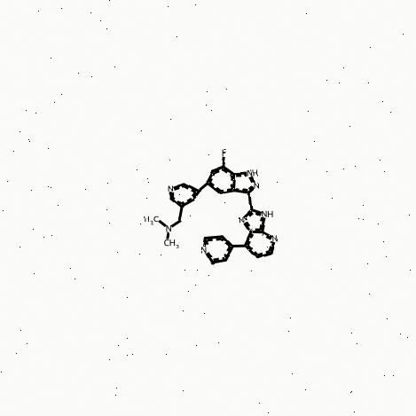 CN(C)Cc1cncc(-c2cc(F)c3[nH]nc(-c4nc5c(-c6ccncc6)ccnc5[nH]4)c3c2)c1